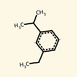 CCc1[c]c(C(C)C)c[c]c1